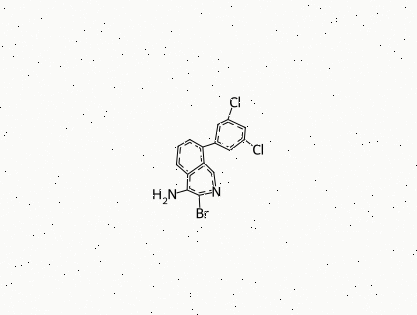 Nc1c(Br)ncc2c(-c3cc(Cl)cc(Cl)c3)cccc12